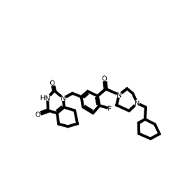 O=C(c1cc(Cn2c3c(c(=O)[nH]c2=O)CCCC3)ccc1F)N1CCN(CC2CCCCC2)CC1